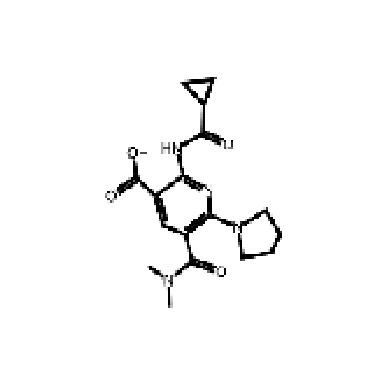 CN(C)C(=O)c1cc(C(=O)O)c(NC(=O)C2CC2)nc1N1CCCC1